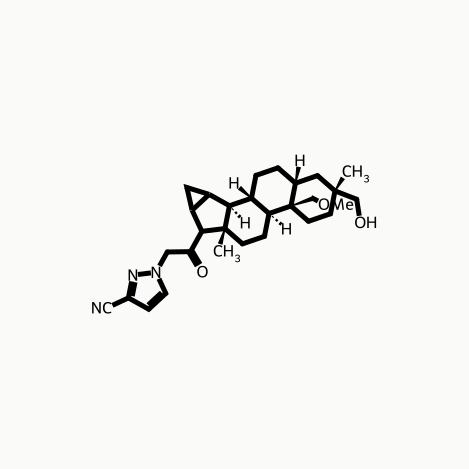 COC[C@]12CC[C@@](C)(CO)C[C@H]1CC[C@@H]1[C@@H]2CC[C@]2(C)C(C(=O)Cn3ccc(C#N)n3)C3CC3[C@@H]12